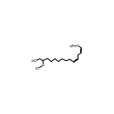 CCCCC/C=C\C/C=C\CCCCCCCC(CO)OCC